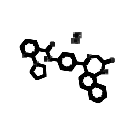 Cl.Cl.O=C1CN=C(c2ccc(NC(=O)c3cccnc3N3CCCC3)cc2)c2ccc3ccccc3c2N1